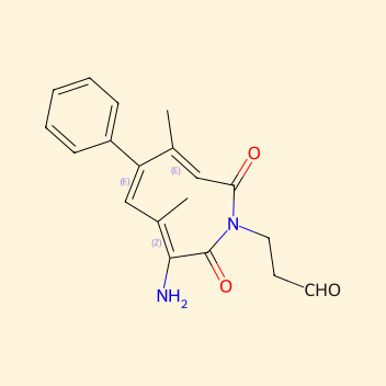 CC1=C(/N)C(=O)N(CCC=O)C(=O)/C=C(C)/C(c2ccccc2)=C\1